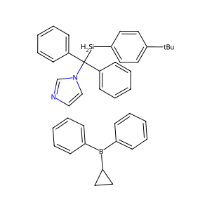 CC(C)(C)c1ccc([SiH2]C(c2ccccc2)(c2ccccc2)n2ccnc2)cc1.c1ccc(B(c2ccccc2)C2CC2)cc1